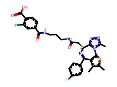 Cc1sc2c(c1C)C(c1ccc(Cl)cc1)=N[C@@H](CC(=O)NCCCNC(=O)c1ccc(C(=O)O)c(Br)c1)c1nnc(C)n1-2